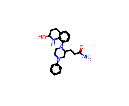 NC(=O)CCC1CN(c2ccccc2)CCN1c1cccc2c1NC(O)CC2